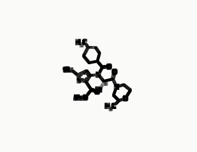 CC[C@@H](C(=O)N1CCOC(C)C1)N(C(=O)C1CCC(C)CC1)c1cc(C(C)(C)C)sc1C(=O)OC